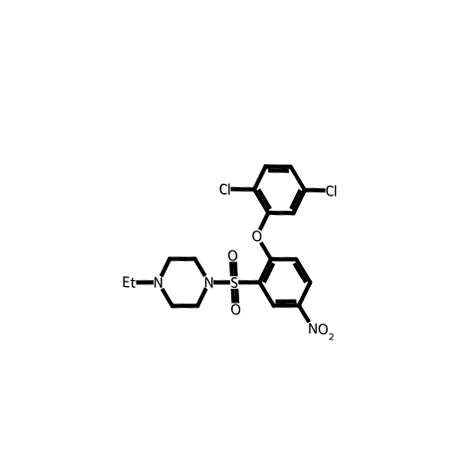 CCN1CCN(S(=O)(=O)c2cc([N+](=O)[O-])ccc2Oc2cc(Cl)ccc2Cl)CC1